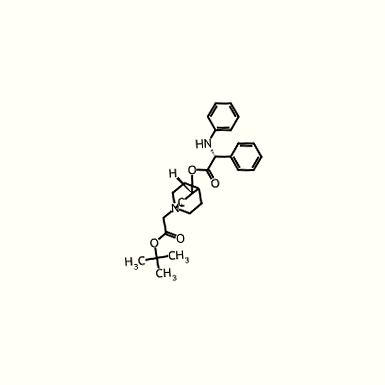 CC(C)(C)OC(=O)C[N+]12CCC(CC1)[C@@H](OC(=O)[C@H](Nc1ccccc1)c1ccccc1)C2